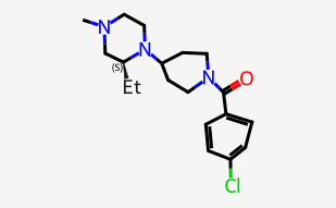 CC[C@H]1CN(C)CCN1C1CCN(C(=O)c2ccc(Cl)cc2)CC1